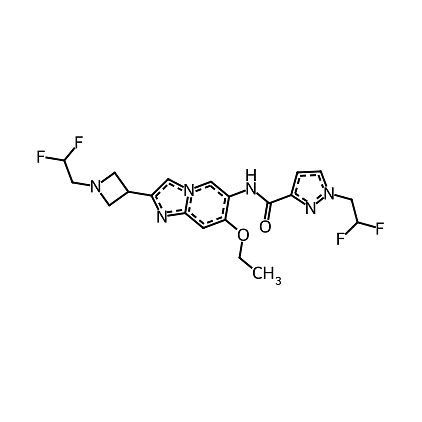 CCOc1cc2nc(C3CN(CC(F)F)C3)cn2cc1NC(=O)c1ccn(CC(F)F)n1